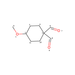 COC1CCC(C=O)(C=O)CC1